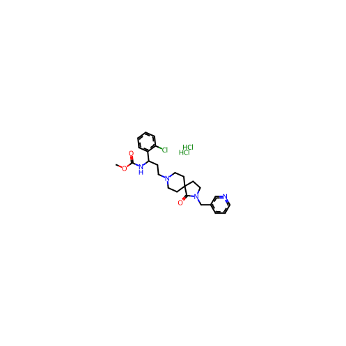 COC(=O)NC(CCN1CCC2(CC1)CCN(Cc1cccnc1)C2=O)c1ccccc1Cl.Cl.Cl